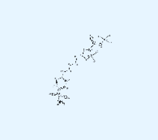 CC(C)(C)OC(=O)N1C[C@@H](CCCCCc2ccc(S(N)(=O)=O)cn2)CC1(C)C